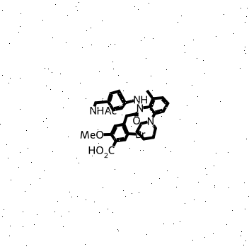 COc1cc(CC(=O)N(Nc2ccc(CNC(C)=O)cc2)c2c(C)cccc2N2CCCCC2)c(Br)cc1C(=O)O